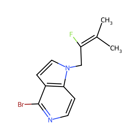 CC(C)=C(F)Cn1ccc2c(Br)nccc21